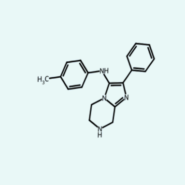 Cc1ccc(Nc2c(-c3ccccc3)nc3n2CCNC3)cc1